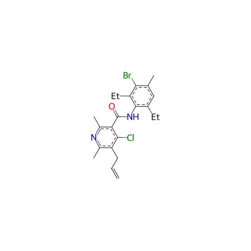 C=CCc1c(C)nc(C)c(C(=O)Nc2c(CC)cc(C)c(Br)c2CC)c1Cl